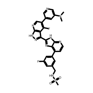 CN(C)c1cncc(-c2cnc3[nH]nc(-c4nc5c(-c6cc(F)cc(CNS(C)(=O)=O)c6)ccnc5[nH]4)c3c2F)c1